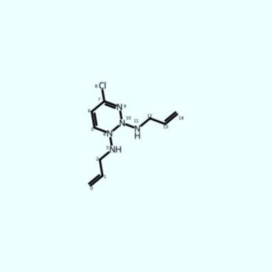 C=CCNN1C=CC(Cl)=NN1NCC=C